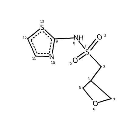 O=S(=O)(CC1COC1)Nc1nccs1